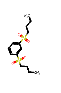 CCCCS(=O)(=O)c1c[c]cc(S(=O)(=O)CCCC)c1